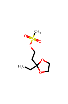 CCC1(CCOS(C)(=O)=O)OCCO1